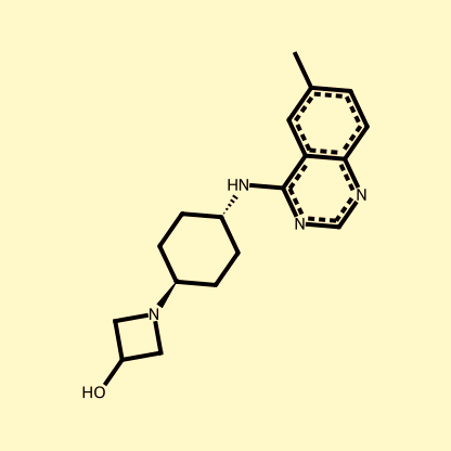 Cc1ccc2ncnc(N[C@H]3CC[C@H](N4CC(O)C4)CC3)c2c1